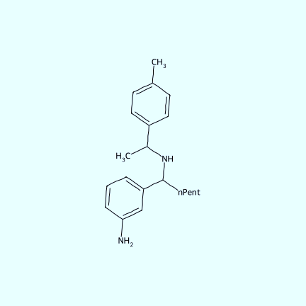 CCCCCC(NC(C)c1ccc(C)cc1)c1cccc(N)c1